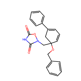 O=c1[nH]c(=O)n(CC2(OCc3ccccc3)C=CC=C(c3ccccc3)C2)o1